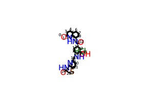 COc1ccc2cccc(NC(=O)[C@@H]3CC[C@@H](NCc4ccc5c(n4)NC(=O)CS5)[C@H](O)C3)c2n1.Cl